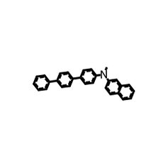 CN(c1ccc(-c2ccc(-c3ccccc3)cc2)cc1)c1ccc2ccccc2c1